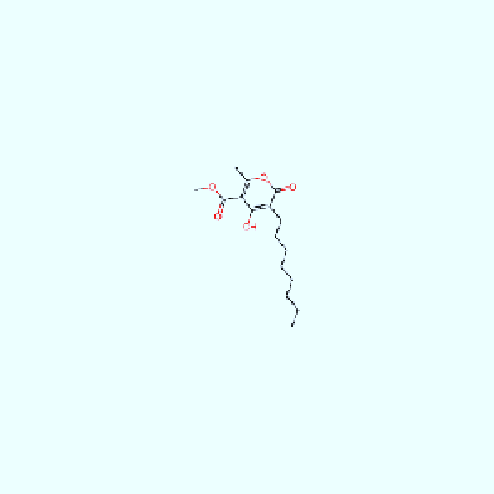 CCCCCCCCc1c(O)c(C(=O)OC)c(C)oc1=O